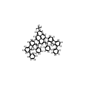 CC(C)(C)c1cc2ccc3c(N(c4ccccc4)c4cccc5c4oc4c(-c6ccccc6)cccc45)cc(N(c4ccccc4)c4cccc5c4oc4c(-c6ccccc6)cccc45)c4ccc(c1)c2c34